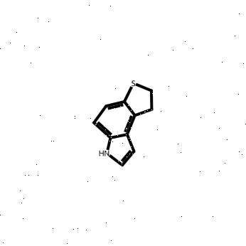 c1cc2c3c(ccc2[nH]1)SCC3